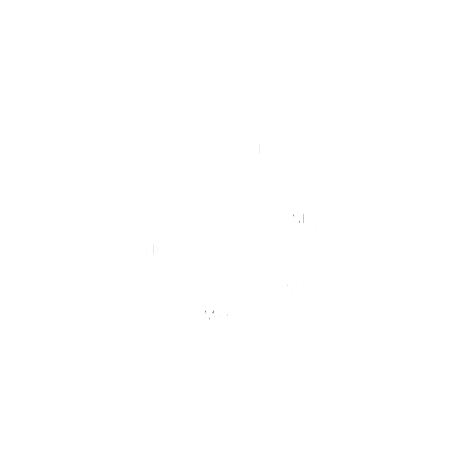 COC(=O)c1ccc(C)c(F)c1N.Cl